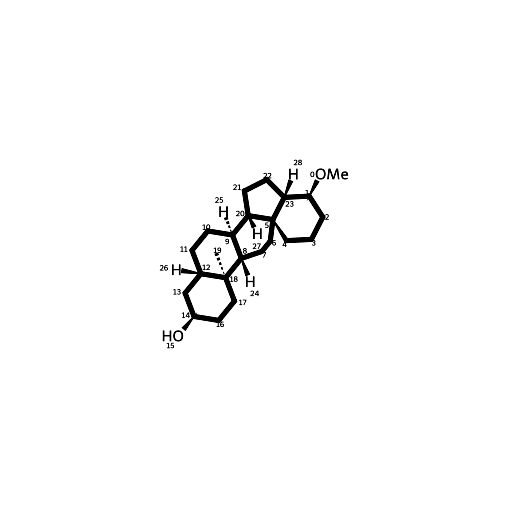 CO[C@H]1CCC[C@@]23CC[C@H]4[C@@H](CC[C@H]5C[C@H](O)CC[C@@]54C)[C@@H]2CC[C@H]13